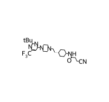 CC(C)(C)c1nc(N2CCN(CC[C@H]3CC[C@H](NC(=O)CCC#N)CC3)CC2)cc(C(F)(F)F)n1